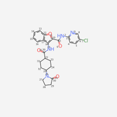 O=C(Nc1ccc(Cl)cn1)c1oc2ccccc2c1NC(=O)C1CCC(N2CCCC2=O)CC1